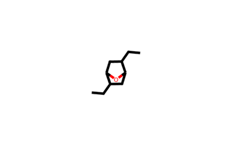 CCC1CC2OC1CC2CC